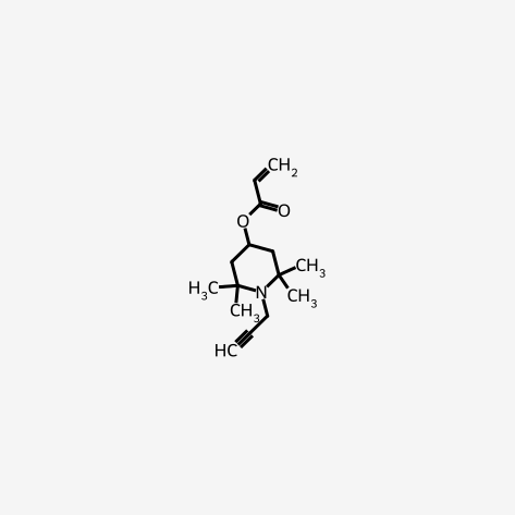 C#CCN1C(C)(C)CC(OC(=O)C=C)CC1(C)C